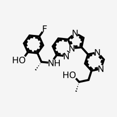 C[C@H](O)Cc1cc(-c2cnc3ccc(N[C@H](C)c4cc(F)ccc4O)nn23)ncn1